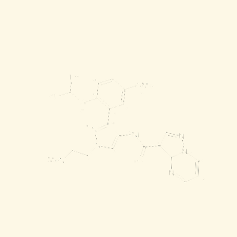 CNCCn1cc(NC(=O)c2cnn3cccnc23)c(-c2cc(SC)ccc2OC(F)F)n1